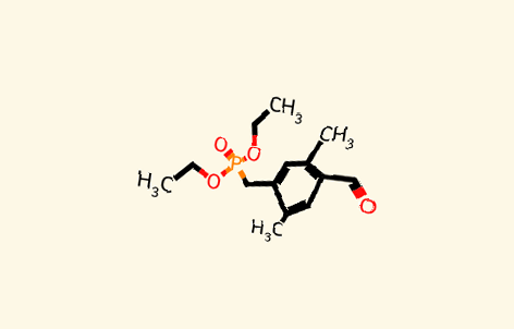 CCOP(=O)(Cc1cc(C)c(C=O)cc1C)OCC